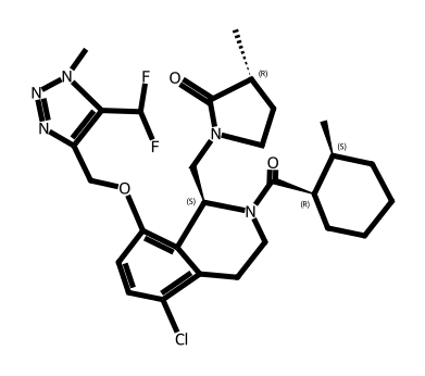 C[C@@H]1CCN(C[C@@H]2c3c(OCc4nnn(C)c4C(F)F)ccc(Cl)c3CCN2C(=O)[C@@H]2CCCC[C@@H]2C)C1=O